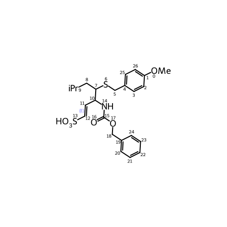 COc1ccc(CSC(CC(C)C)C(/C=C/S(=O)(=O)O)NC(=O)OCc2ccccc2)cc1